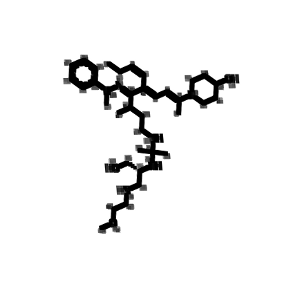 CC\C=C/C(=C\C=C(/C)N1CCC(O)CC1)C(=N/N(C)c1ccccc1)/C(C)CCNC(C)(C)N[C@@H](CO)CNCCOC